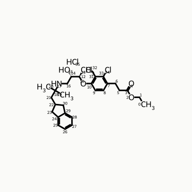 CCOC(=O)CCc1ccc(O[C@H](C)[C@@H](O)CNC(C)(C)CC2Cc3ccccc3C2)c(Cl)c1Cl.Cl